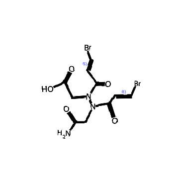 NC(=O)CN(C(=O)/C=C/Br)N(CC(=O)O)C(=O)/C=C/Br